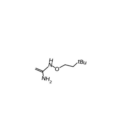 C=C(N)NOCCC(C)(C)C